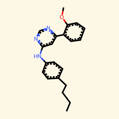 CCCCc1ccc(Nc2cc(-c3ccccc3OC)ncn2)cc1